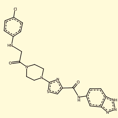 O=C(Nc1ccc2[nH]nnc2c1)c1csc(N2CCN(C(=O)CNc3ccc(Cl)cc3)CC2)n1